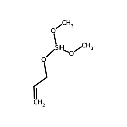 C=CCO[SiH](OC)OC